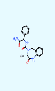 CC[C@H](C)[C@H]1C(=O)Nc2ccccc2CN1C(=O)N[C@@H](C(N)=O)c1ccccc1